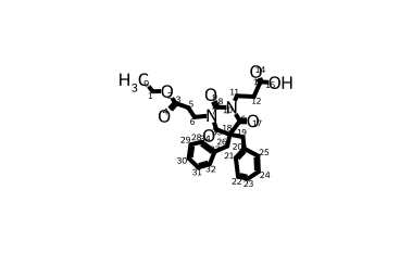 CCOC(=O)CCN1C(=O)N(CCC(=O)O)C(=O)C(Cc2ccccc2)(Cc2ccccc2)C1=O